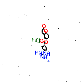 Cl.N=C(N)Nc1ccc(C(=O)Oc2ccc3oc(=O)ccc3c2)cc1